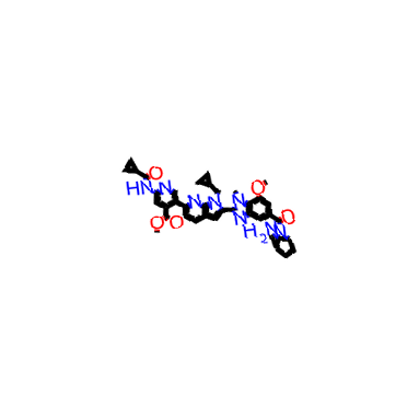 COC(=O)c1cc(NC(=O)C2CC2)ncc1-c1ccc2cc(-c3nc4cc(C(=O)N5CC6CCC5C6N)cc(OC)c4n3C)n(CC3CC3)c2n1